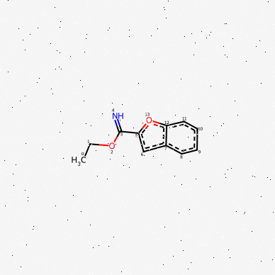 CCOC(=N)c1cc2ccccc2o1